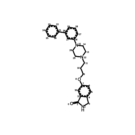 O=C1NCc2ccc(OCCCN3CCN(c4cccc(-c5ccccc5)c4)CC3)cc21